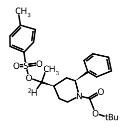 [2H]C(C)(OS(=O)(=O)c1ccc(C)cc1)[C@@H]1CCN(C(=O)OC(C)(C)C)[C@H](c2ccccc2)C1